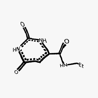 CCNC(=O)c1cc(=O)[nH]c(=O)[nH]1